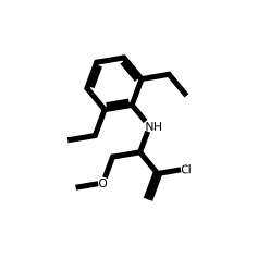 C=C(Cl)C(COC)Nc1c(CC)cccc1CC